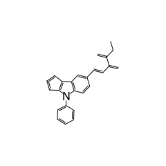 C=C(C=Cc1ccc2c(c1)c1c(n2-c2ccccc2)C=C=C1)C(=C)CC